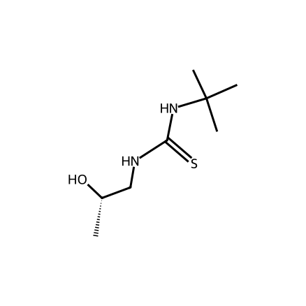 C[C@H](O)CNC(=S)NC(C)(C)C